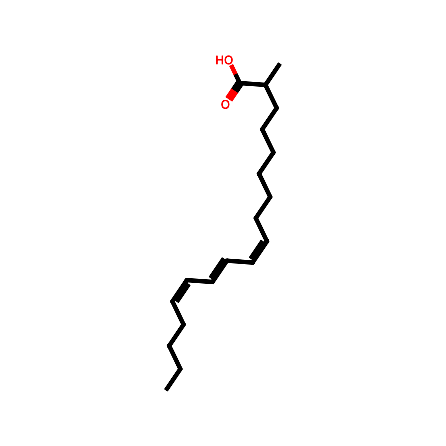 CCCC\C=C/C=C/C=C\CCCCCCC(C)C(=O)O